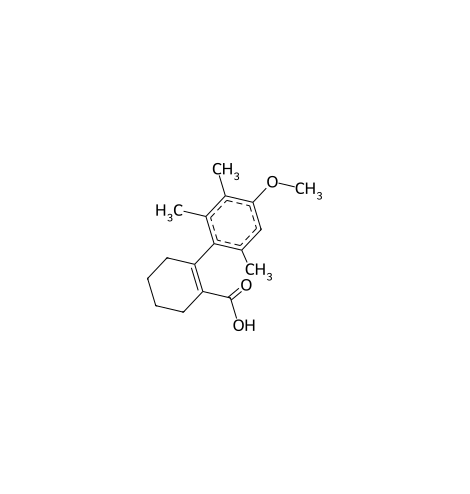 COc1cc(C)c(C2=C(C(=O)O)CCCC2)c(C)c1C